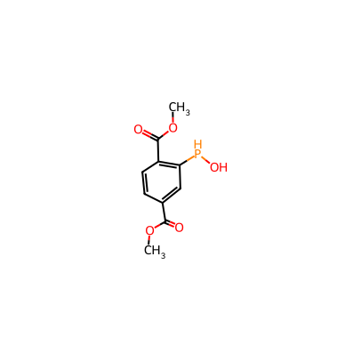 COC(=O)c1ccc(C(=O)OC)c(PO)c1